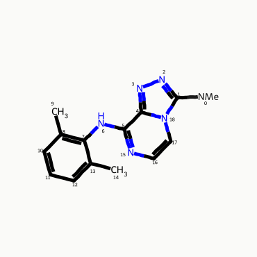 CNc1nnc2c(Nc3c(C)cccc3C)nccn12